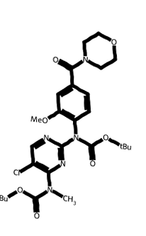 COc1cc(C(=O)N2CCOCC2)ccc1N(C(=O)OC(C)(C)C)c1ncc(Cl)c(N(C)C(=O)OC(C)(C)C)n1